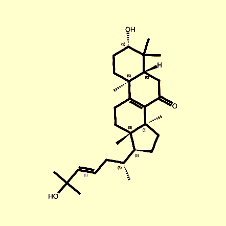 C[C@H](C/C=C/C(C)(C)O)[C@@H]1CC[C@]2(C)C3=C(CC[C@@]12C)[C@@]1(C)CC[C@H](O)C(C)(C)[C@@H]1CC3=O